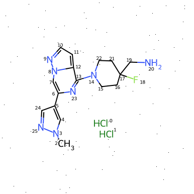 Cl.Cl.Cn1cc(-c2cn3nccc3c(N3CCC(F)(CN)CC3)n2)cn1